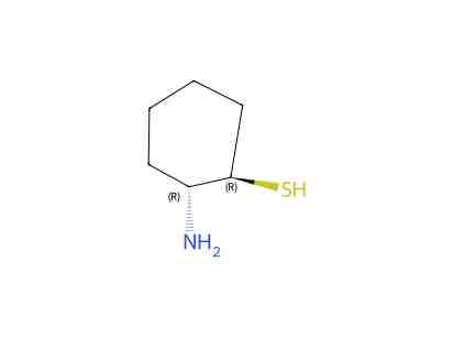 N[C@@H]1CCCC[C@H]1S